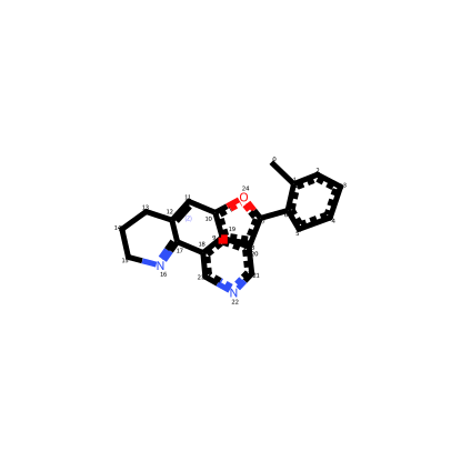 Cc1ccccc1-c1ccc(/C=C2/CCCN=C2c2cccnc2)o1